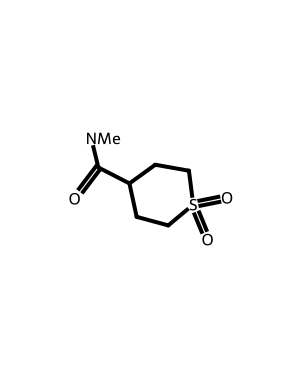 CNC(=O)C1CCS(=O)(=O)CC1